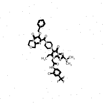 CCc1c(N2CCN(C(=O)c3nc4n(c(=O)c3OCc3ccccc3)CCOC4)CC2)c(=O)n2nc(N(C)C)nc2n1CC(=O)Nc1ccc(C(F)(F)F)cc1Cl